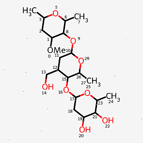 COC1CC(C)OC(C)C1OC1CC(CO)C(OC2CC(O)C(O)C(C)O2)C(C)O1